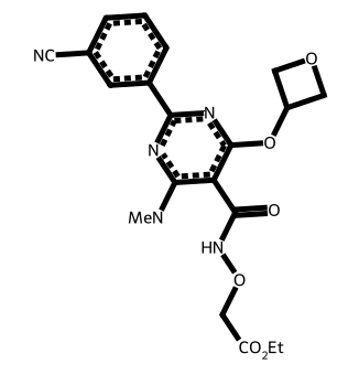 CCOC(=O)CONC(=O)c1c(NC)nc(-c2cccc(C#N)c2)nc1OC1COC1